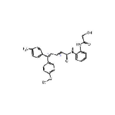 CCOc1ccc(/C(=C\C=C\C(=O)Nc2ccccc2NC(=O)CO)c2ccc(C(F)(F)F)cc2)cc1